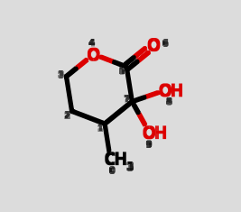 CC1CCOC(=O)C1(O)O